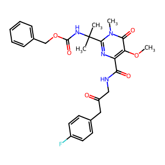 COc1c(C(=O)NCC(=O)Cc2ccc(F)cc2)nc(C(C)(C)NC(=O)OCc2ccccc2)n(C)c1=O